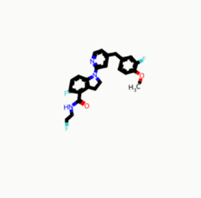 COc1ccc(Cc2ccnc(N3CCc4c3ccc(F)c4C(=O)NCCF)c2)cc1F